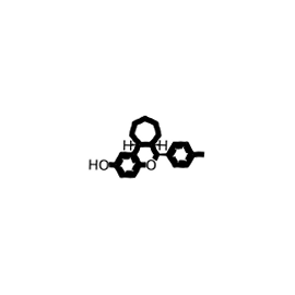 Cc1ccc([C@H]2Oc3ccc(O)cc3[C@H]3CCCCC[C@H]32)cc1